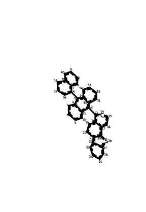 c1ccc2c(-c3c4ccccc4c(-c4cccc5c4ccc4c6ccccc6sc54)c4ccccc34)cccc2c1